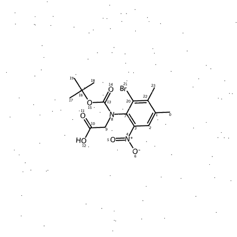 Cc1cc([N+](=O)[O-])c(N(CC(=O)O)C(=O)OC(C)(C)C)c(Br)c1C